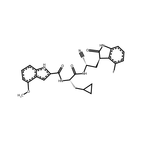 COc1cccc2[nH]c(C(=O)N[C@@H](CC3CC3)C(=O)N[C@H](C#N)C[C@H]3C(=O)Nc4cccc(F)c43)cc12